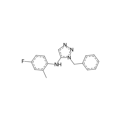 Cc1cc(F)ccc1Nc1cnnn1Cc1ccccc1